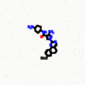 COc1ccc2c(c1)CCc1cnc(-n3cc(C(=O)NC4CCC(N)CC4)c(N)n3)nc1-2